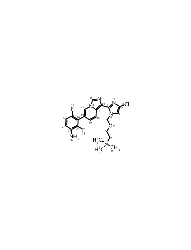 C[Si](C)(C)CCOCn1cc(Cl)nc1-c1ncn2cc(-c3c(F)ccc(N)c3F)ccc12